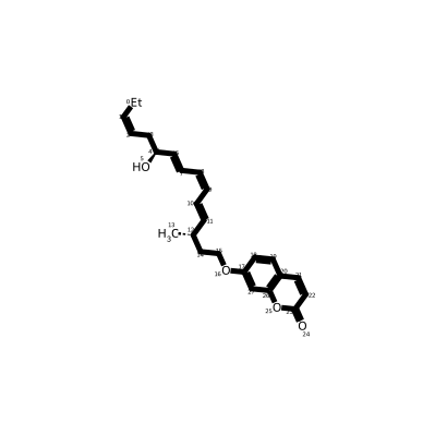 CC/C=C\C[C@H](O)/C=C/C=C\C=C\[C@@H](C)CCOc1ccc2ccc(=O)oc2c1